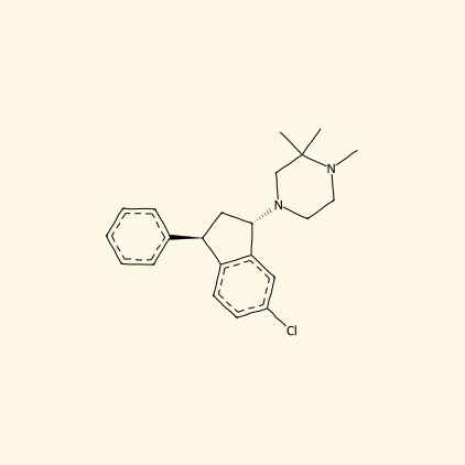 CN1CCN([C@H]2C[C@H](c3ccccc3)c3ccc(Cl)cc32)CC1(C)C